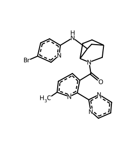 Cc1ccc(C(=O)N2CC3CCC2C(Nc2ccc(Br)cn2)C3)c(-c2ncccn2)n1